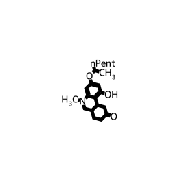 CCCCCC(C)Oc1cc(O)c2c(c1)N(C)CC1CCC(=O)CC21